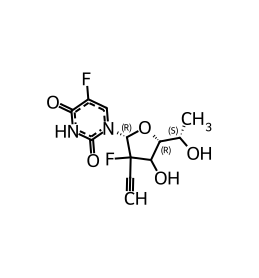 C#CC1(F)C(O)[C@@H]([C@H](C)O)O[C@H]1n1cc(F)c(=O)[nH]c1=O